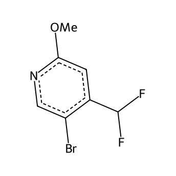 COc1cc(C(F)F)c(Br)cn1